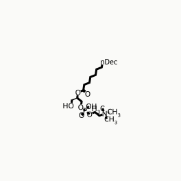 CCCCCCCCCCCCCCCCC(=O)O[C@H](CO)COP(=O)(O)OCC[N+](C)(C)C